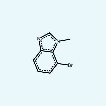 Cn1cnc2cccc(Br)c21